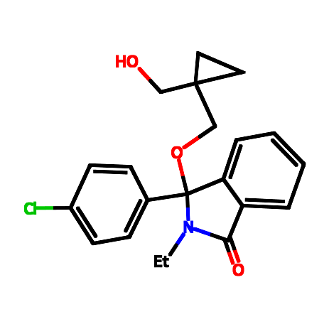 CCN1C(=O)c2ccccc2C1(OCC1(CO)CC1)c1ccc(Cl)cc1